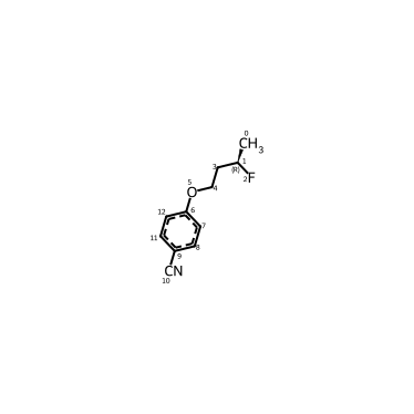 C[C@@H](F)CCOc1ccc(C#N)cc1